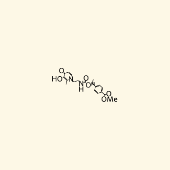 COC(=O)c1ccc([C@H](C)OC(=O)NCCn2ccc(=O)c(O)c2C)cc1